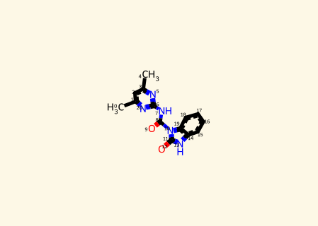 Cc1cc(C)nc(NC(=O)n2c(=O)[nH]c3ccccc32)n1